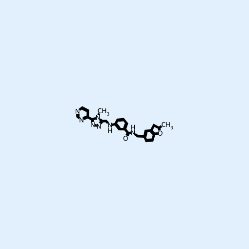 CC1Cc2cc(CNC(=O)c3cccc(NCc4nnc(-c5ccncn5)n4C)c3)ccc2O1